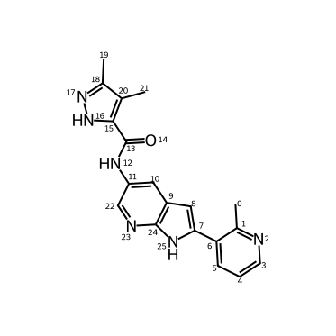 Cc1ncccc1-c1cc2cc(NC(=O)c3[nH]nc(C)c3C)cnc2[nH]1